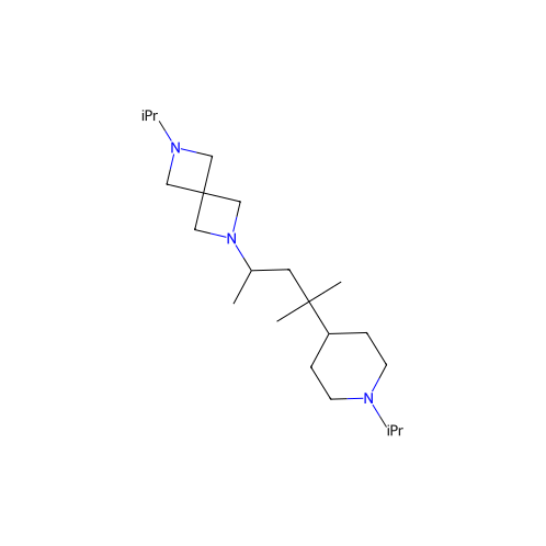 CC(C)N1CCC(C(C)(C)CC(C)N2CC3(CN(C(C)C)C3)C2)CC1